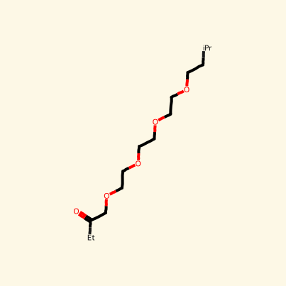 CCC(=O)COCCOCCOCCOCCC(C)C